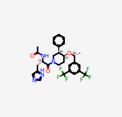 CC(=O)N[C@@H](Cc1cnc[nH]1)C(=O)N1CC[C@H](O[C@H](C)c2cc(C(F)(F)F)cc(C(F)(F)F)c2)[C@H](c2ccccc2)C1